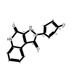 O=c1[nH]c2ccccc2c2c(=O)n(-c3ccc(Cl)cc3)[nH]c12